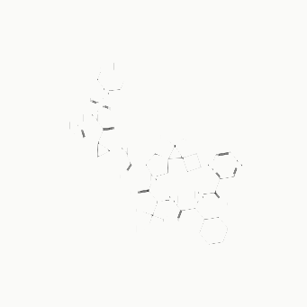 C=C[C@@]1(C(=O)NS(=O)(=O)N(CC)CC)C[C@H]1NC(=O)[C@@H]1C[C@@]2(CN1C(=O)[C@@H](NC(=O)[C@@H](NC(=O)c1cnccn1)C1CCCCC1)C(C)(C)C)C(C)(C)C21CCC1